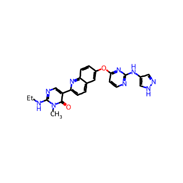 CCNc1ncc(-c2ccc3cc(Oc4ccnc(Nc5cn[nH]c5)n4)ccc3n2)c(=O)n1C